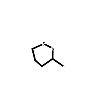 [CH2]C1CCCSS1